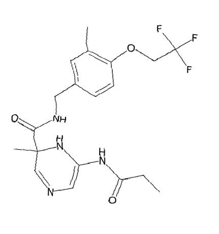 CCC(=O)NC1=CN=CC(C)(C(=O)NCc2ccc(OCC(F)(F)F)c(C)c2)N1